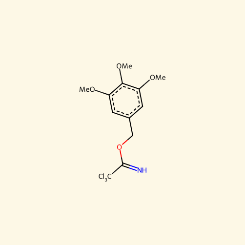 COc1cc(COC(=N)C(Cl)(Cl)Cl)cc(OC)c1OC